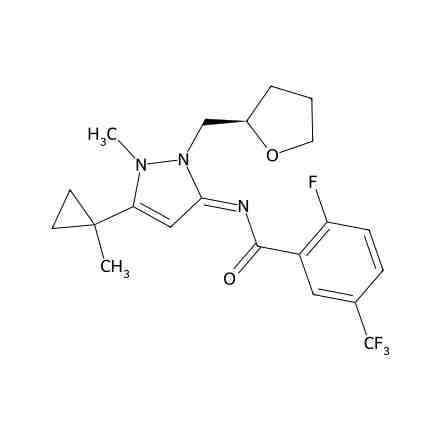 Cn1c(C2(C)CC2)cc(=NC(=O)c2cc(C(F)(F)F)ccc2F)n1C[C@H]1CCCO1